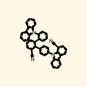 N#Cc1cccc(-c2ccccc2-n2c3ccccc3c3ccccc32)c1-c1ccc(-n2c3ccccc3c3cccc(C#N)c32)cc1